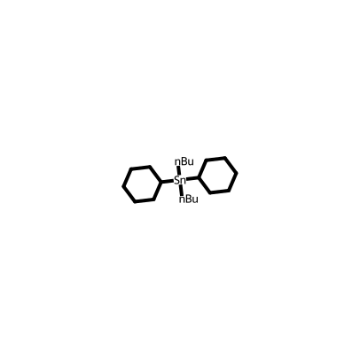 CCC[CH2][Sn]([CH2]CCC)([CH]1CCCCC1)[CH]1CCCCC1